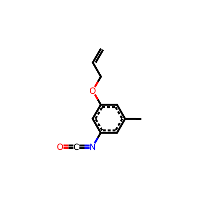 C=CCOc1cc(C)cc(N=C=O)c1